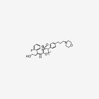 CC1(C)OC(N[C@@H](CCO)c2ccccc2F)=NS(=O)(=O)C1c1ccc(CCCN2CCOCC2)cc1